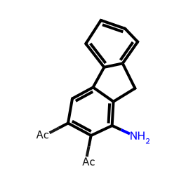 CC(=O)c1cc2c(c(N)c1C(C)=O)Cc1ccccc1-2